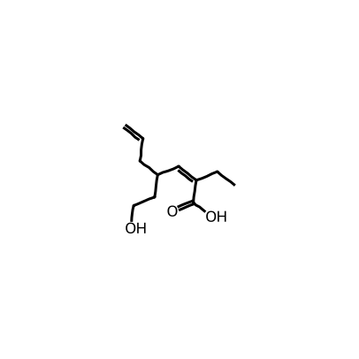 C=CCC(C=C(CC)C(=O)O)CCO